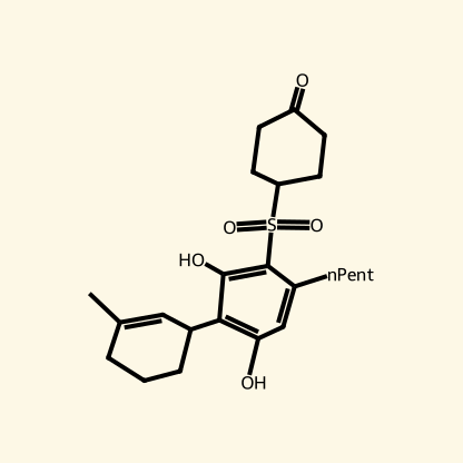 CCCCCc1cc(O)c(C2C=C(C)CCC2)c(O)c1S(=O)(=O)C1CCC(=O)CC1